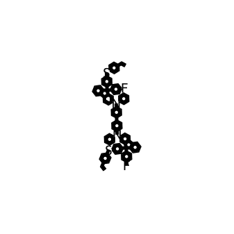 C=Cc1ccc(Sc2ccc(C3(c4ccc(F)cc4)c4ccccc4-c4ccc(N(c5ccccc5)c5ccc(-c6ccc(N(C7=CC8C(C=C7)c7ccccc7C8(c7ccc(F)cc7)c7ccc(Sc8ccc(C=C)cc8)cc7)c7ccccc7)cc6)cc5)cc43)cc2)cc1